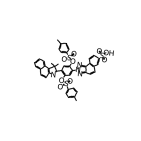 Cc1ccc(S(=O)(=O)Oc2cc(-n3nc4ccc5cc(S(=O)(=O)O)ccc5c4n3)c(OS(=O)(=O)c3ccc(C)cc3)cc2C2=Nc3ccc4ccccc4c3C2(C)C)cc1